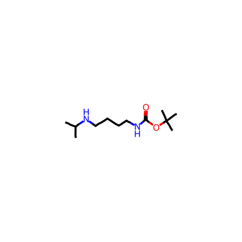 CC(C)NCCCCNC(=O)OC(C)(C)C